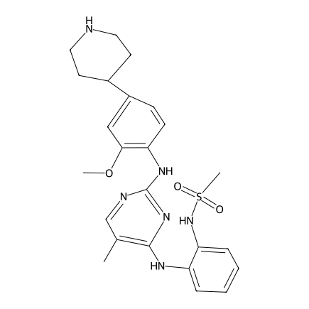 COc1cc(C2CCNCC2)ccc1Nc1ncc(C)c(Nc2ccccc2NS(C)(=O)=O)n1